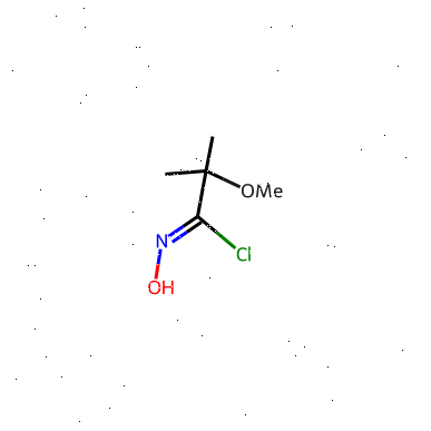 COC(C)(C)C(Cl)=NO